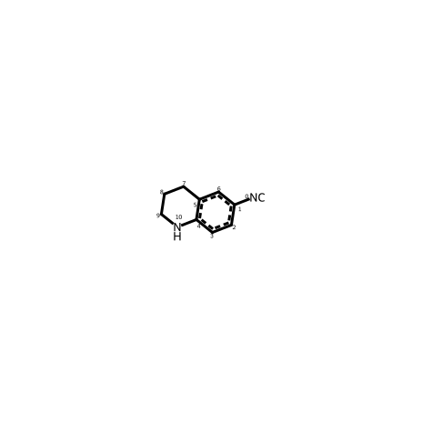 [C-]#[N+]c1ccc2c(c1)CCCN2